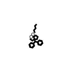 CCCCCOC12CCCC1(C(c1ccccc1)c1ccccc1)CCO2